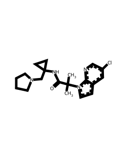 CC(C)(C(=O)NC1(CN2CCCC2)CC1)n1ccc2cc(Cl)cnc21